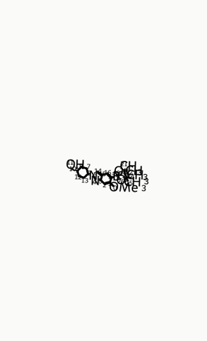 COc1cc2nn([C@H]3CC[C@H](CO)CC3)cc2cc1B1OC(C)(C)C(C)(C)O1